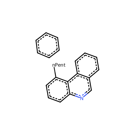 CCCCCc1cccc2ncc3ccccc3c12.c1ccccc1